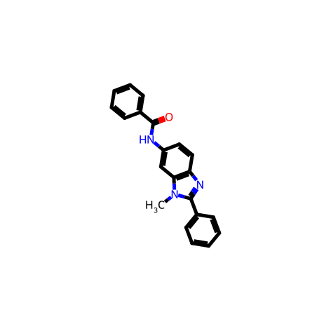 Cn1c(-c2ccccc2)nc2ccc(NC(=O)c3ccccc3)cc21